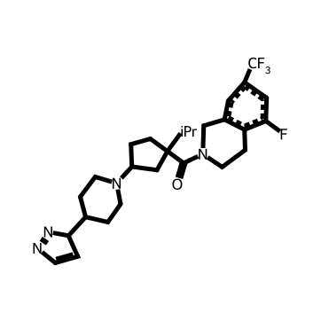 CC(C)C1(C(=O)N2CCc3c(F)cc(C(F)(F)F)cc3C2)CCC(N2CCC(C3C=CN=N3)CC2)C1